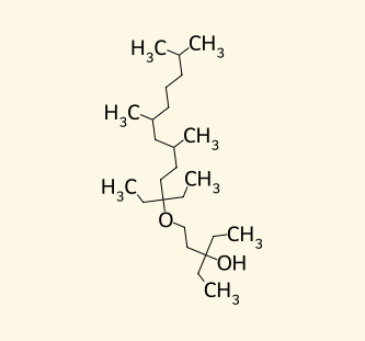 CCC(O)(CC)CCOC(CC)(CC)CCC(C)CC(C)CCCC(C)C